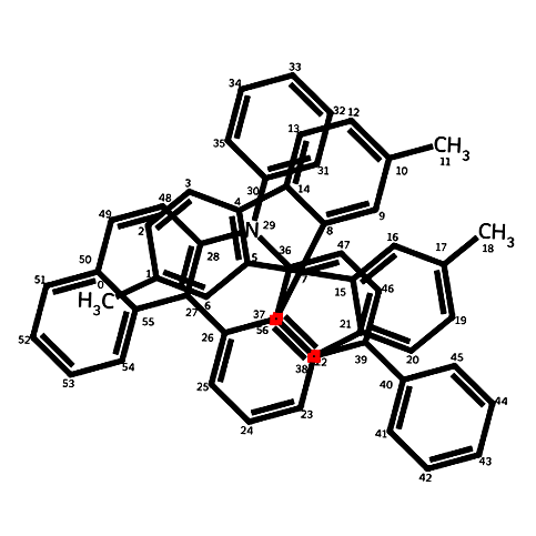 Cc1ccc2c(c1)C1(c3cc(C)ccc3-2)c2cc(C)ccc2-c2cccc(-c3c(N(c4ccccc4)c4ccc(-c5ccccc5)cc4)ccc4ccccc34)c21